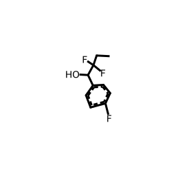 CCC(F)(F)C(O)c1ccc(F)cc1